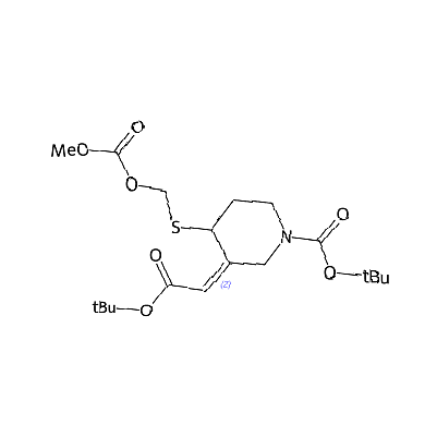 COC(=O)OCSC1CCN(C(=O)OC(C)(C)C)C/C1=C/C(=O)OC(C)(C)C